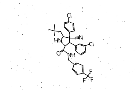 CC(C)(C)CC1NC(C(=O)NCc2ccc(C(F)(F)F)cc2)C(c2cccc(Cl)c2)C1(C#N)c1ccc(Cl)cc1